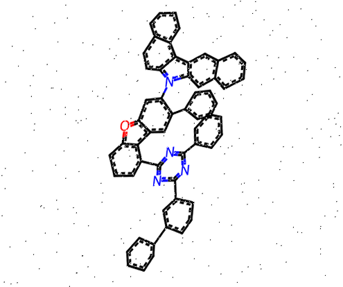 c1ccc(-c2cccc(-c3nc(-c4ccccc4)nc(-c4cccc5oc6cc(-n7c8cc9ccccc9cc8c8c9ccccc9ccc87)c(-c7ccccc7)cc6c45)n3)c2)cc1